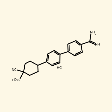 CCCCCCCCCCC1(C#N)CCC(c2ccc(-c3ccc(C(=N)N)cc3)cc2)CC1.Cl